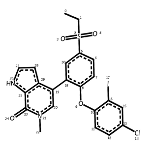 CCS(=O)(=O)c1ccc(Oc2ccc(Cl)cc2I)c(-c2cn(C)c(=O)c3[nH]ccc23)c1